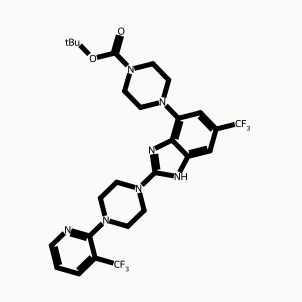 CC(C)(C)OC(=O)N1CCN(c2cc(C(F)(F)F)cc3[nH]c(N4CCN(c5ncccc5C(F)(F)F)CC4)nc23)CC1